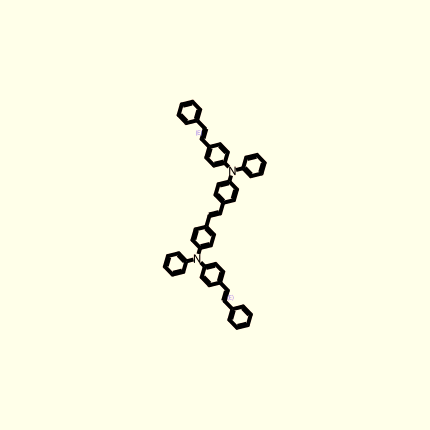 C(=Cc1ccc(N(c2ccccc2)c2ccc(/C=C/c3ccccc3)cc2)cc1)c1ccc(N(c2ccccc2)c2ccc(/C=C/c3ccccc3)cc2)cc1